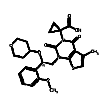 COc1ccccc1[C@H](Cn1c(=O)n(C2(C(=O)O)CC2)c(=O)c2c(C)csc21)OC1CCOCC1